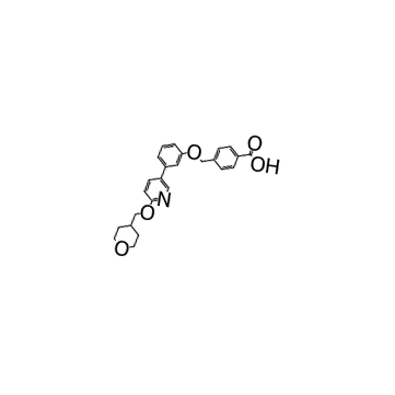 O=C(O)c1ccc(COc2cccc(-c3ccc(OCC4CCOCC4)nc3)c2)cc1